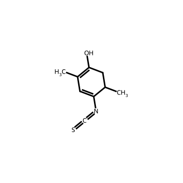 CC1=C(O)CC(C)C(N=C=S)=C1